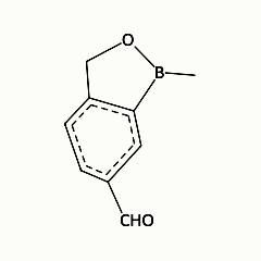 CB1OCc2ccc(C=O)cc21